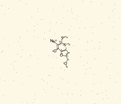 COCc1ccc(C(=O)C(C#N)=C(SC)SC)o1